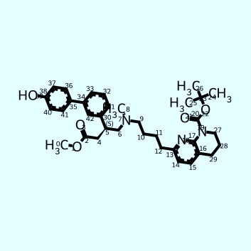 COC(=O)C[C@H](CN(C)CCCCc1ccc2c(n1)N(C(=O)OC(C)(C)C)CCC2)c1cccc(-c2ccc(O)cc2)c1